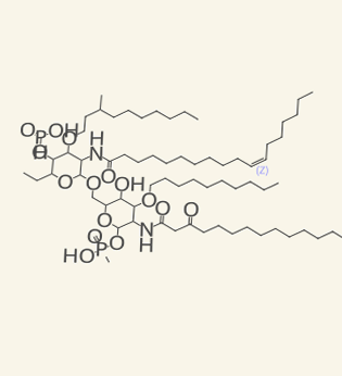 CCCCCC/C=C\CCCCCCCCCC(=O)NC1C(OCC2OC(OP(C)(=O)O)C(NC(=O)CC(=O)CCCCCCCCCCC)C(OCCCCCCCCCC)C2O)OC(CC)C(O[PH](=O)O)C1OCCC(C)CCCCCCC